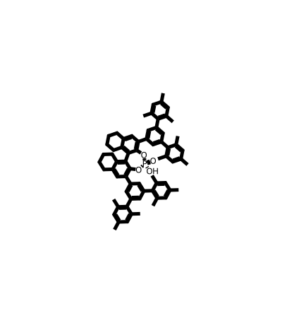 Cc1cc(C)c(-c2cc(-c3cc4c(c5c3OP(=O)(O)Oc3c(-c6cc(-c7c(C)cc(C)cc7C)cc(-c7c(C)cc(C)cc7C)c6)cc6c(c3-5)CCCC6)CCCC4)cc(-c3c(C)cc(C)cc3C)c2)c(C)c1